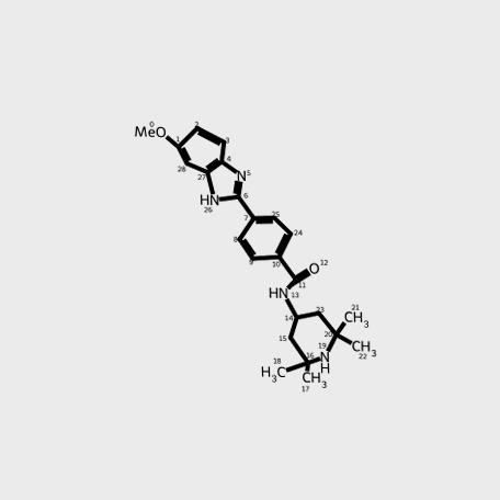 COc1ccc2nc(-c3ccc(C(=O)NC4CC(C)(C)NC(C)(C)C4)cc3)[nH]c2c1